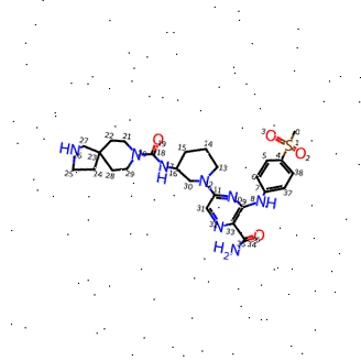 CS(=O)(=O)c1ccc(Nc2nc(N3CCCC(NC(=O)N4CCC5(CCNC5)CC4)C3)cnc2C(N)=O)cc1